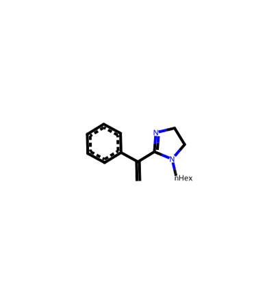 C=C(C1=NCCN1CCCCCC)c1ccccc1